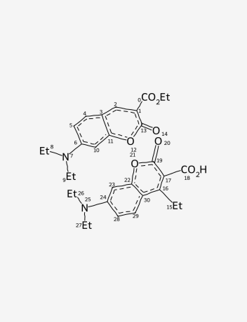 CCOC(=O)c1cc2ccc(N(CC)CC)cc2oc1=O.CCc1c(C(=O)O)c(=O)oc2cc(N(CC)CC)ccc12